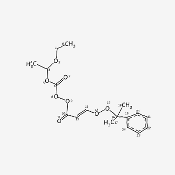 CCOC(C)OC(=O)OOC(=O)C=COOC(C)(C)c1ccccc1